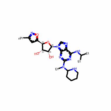 CCCc1cc([C@H]2O[C@@H](n3cnc4c(NC(CC)CC)nc(N(CC)C5CCCCN5)nc43)[C@H](O)[C@@H]2O)on1